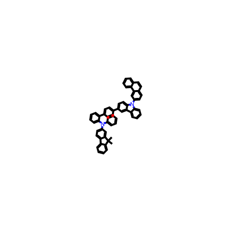 CC1(C)c2ccccc2-c2ccc(N(c3ccccc3)c3ccccc3-c3ccc(-c4ccc5c(c4)c4ccccc4n5-c4ccc5ccc6ccccc6c5c4)cc3)cc21